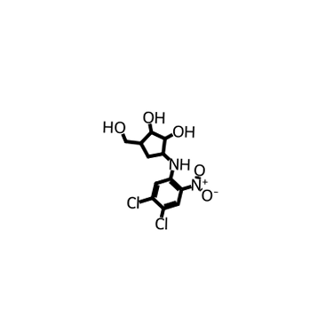 O=[N+]([O-])c1cc(Cl)c(Cl)cc1NC1CC(CO)C(O)C1O